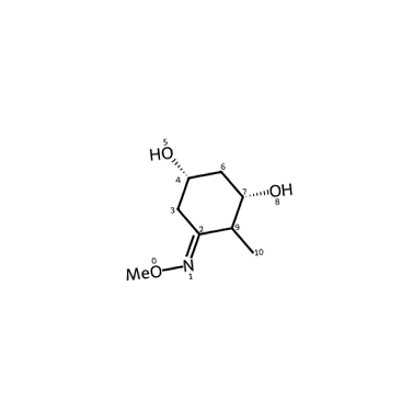 CON=C1C[C@H](O)C[C@H](O)C1C